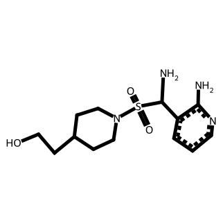 Nc1ncccc1C(N)S(=O)(=O)N1CCC(CCO)CC1